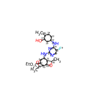 CCOC(=O)c1c2c(Nc3ncc(F)c(Nc4ccc(C)c(O)c4)n3)c3c(c1C(C)O2)OC3C